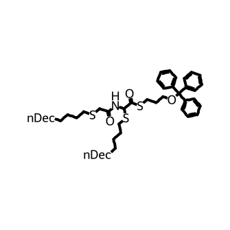 CCCCCCCCCCCCCCSCC(=O)NC(SCCCCCCCCCCCCCC)C(=O)SCCCOC(c1ccccc1)(c1ccccc1)c1ccccc1